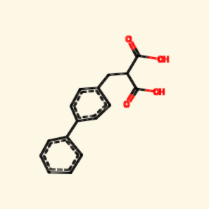 O=C(O)C(Cc1ccc(-c2ccccc2)cc1)C(=O)O